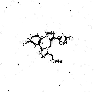 COCc1nnc2n1Cc1c(-c3nc(C)no3)ncn1-c1ccc(C(F)(F)F)cc1-2